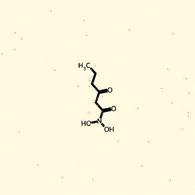 CCCC(=O)CC(=O)N(O)O